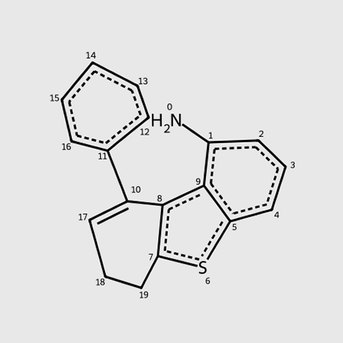 Nc1cccc2sc3c(c12)C(c1ccccc1)=CCC3